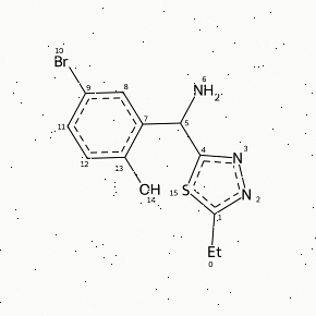 CCc1nnc(C(N)c2cc(Br)ccc2O)s1